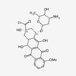 CCC(=O)[C@]1(O)CC2C(=C(O)C3=C(C(=O)c4cccc(OC)c4C3=O)C2O)[C@@H](OC2CC(N)C(O)C(C)O2)C1